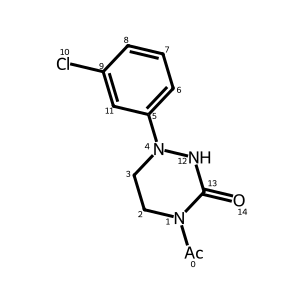 CC(=O)N1CCN(c2cccc(Cl)c2)NC1=O